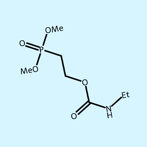 CCNC(=O)OCCP(=O)(OC)OC